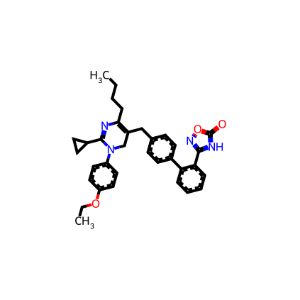 CCCCC1=C(Cc2ccc(-c3ccccc3-c3noc(=O)[nH]3)cc2)CN(c2ccc(OCC)cc2)C(C2CC2)=N1